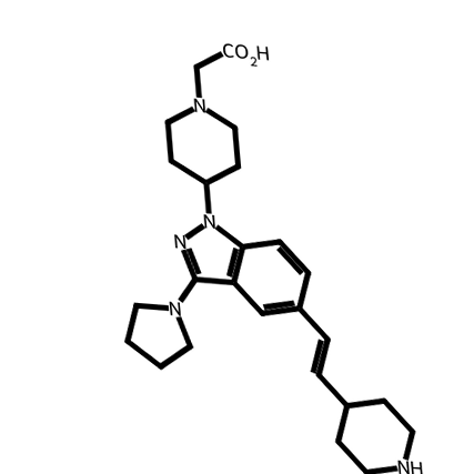 O=C(O)CN1CCC(n2nc(N3CCCC3)c3cc(C=CC4CCNCC4)ccc32)CC1